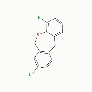 Fc1cccc2c1SCc1cc(Cl)ccc1C2